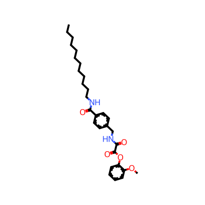 CCCCCCCCCCCCNC(=O)c1ccc(CNC(=O)C(=O)Oc2ccccc2OC)cc1